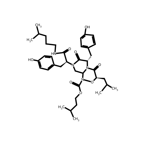 CC(C)CCCNC(=O)[C@H](Cc1ccc(O)cc1)N1CC2N(C(=O)OCCC(C)C)O[C@H](CC(C)C)C(=O)N2[C@@H](Cc2ccc(O)cc2)C1=O